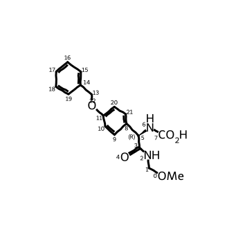 COCNC(=O)[C@H](NC(=O)O)c1ccc(OCc2ccccc2)cc1